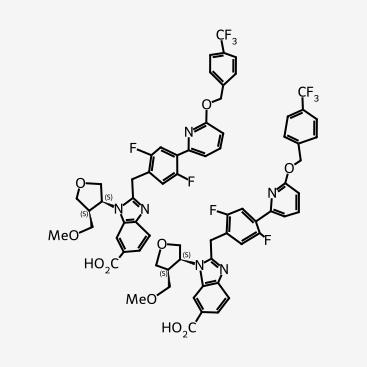 COC[C@H]1COC[C@H]1n1c(Cc2cc(F)c(-c3cccc(OCc4ccc(C(F)(F)F)cc4)n3)cc2F)nc2ccc(C(=O)O)cc21.COC[C@H]1COC[C@H]1n1c(Cc2cc(F)c(-c3cccc(OCc4ccc(C(F)(F)F)cc4)n3)cc2F)nc2ccc(C(=O)O)cc21